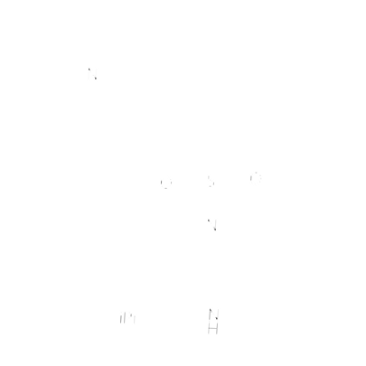 CC(C)C1CN(S(=O)(=O)c2cccc3cnccc23)CCN1